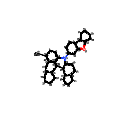 CC(C)(C)c1ccc(N(c2ccc3c(c2)oc2ccccc23)c2ccc3ccccc3c2-c2cccc3ccccc23)cc1